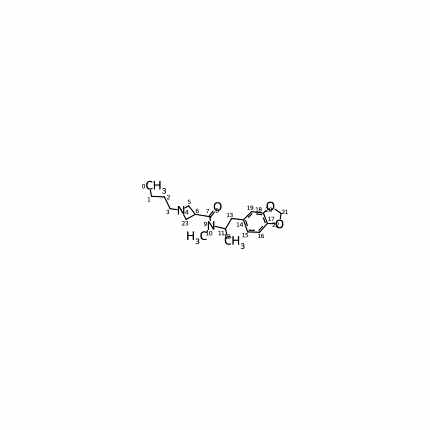 CCCCN1CC(C(=O)N(C)C(C)Cc2ccc3c(c2)OCO3)C1